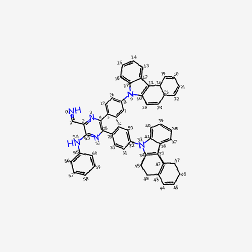 N=Cc1nc(-c2ccc(-n3c4c(c5ccccc53)C3C=CC=CC3C=C4)cc2)c(-c2ccc(-n3c4c(c5ccccc53)C3=C(C=CCC3)CC4)cc2)nc1Nc1ccccc1